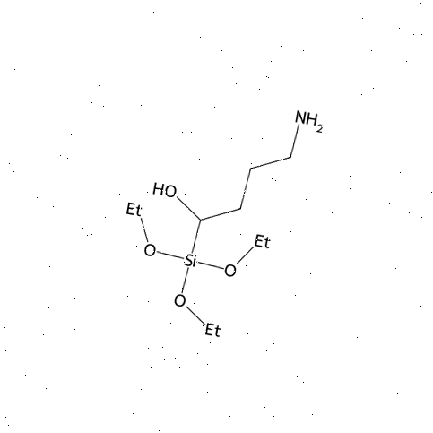 CCO[Si](OCC)(OCC)C(O)CCCN